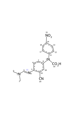 CN(C)/C=N/c1ccc(N(C(=O)O)c2ccc([N+](=O)[O-])cc2)cc1C#N